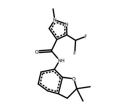 Cn1cc(C(=O)Nc2cccc3c2OC(C)(C)C3)c(C(F)F)n1